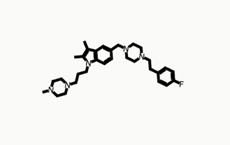 Cc1c(C)n(CCCN2CCN(C)CC2)c2ccc(CN3CCN(CCc4ccc(F)cc4)CC3)cc12